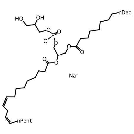 CCCCC/C=C\C/C=C\CCCCCCCC(=O)O[C@H](COC(=O)CCCCCCCCCCCCCCCCC)COP(=O)([O-])OCC(O)CO.[Na+]